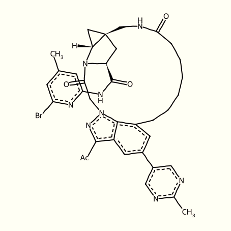 CC(=O)c1nn2c3c(cc(-c4cnc(C)nc4)cc13)CCCCCCC(=O)NC[C@@]13C[C@@H](C(=O)Nc4cc(C)cc(Br)n4)N(C(=O)C2)[C@@H]1C3